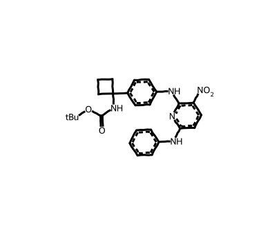 CC(C)(C)OC(=O)NC1(c2ccc(Nc3nc(Nc4ccccc4)ccc3[N+](=O)[O-])cc2)CCC1